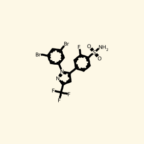 NS(=O)(=O)c1ccc(-c2cc(C(F)(F)F)nn2-c2cc(Br)cc(Br)c2)cc1F